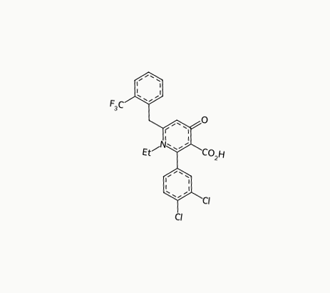 CCn1c(Cc2ccccc2C(F)(F)F)cc(=O)c(C(=O)O)c1-c1ccc(Cl)c(Cl)c1